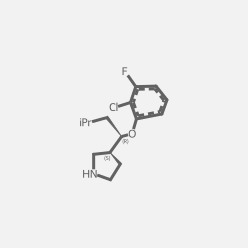 CC(C)C[C@@H](Oc1cccc(F)c1Cl)[C@H]1CCNC1